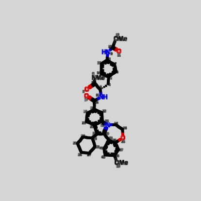 CNC(=O)[C@H](Cc1ccc(NC(=O)OC)cc1)NC(=O)c1ccc2c(C3CCCCC3)c3n(c2c1)CCOc1cc(OC)ccc1-3